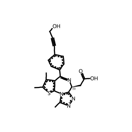 Cc1sc2c(c1C)C(c1ccc(C#CCO)cc1)=N[C@@H](CC(=O)O)c1nnc(C)n1-2